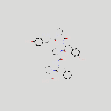 N[C@@H](Cc1ccc(O)cc1)C(=O)N1CCC[C@H]1C(=O)N[C@@H](Cc1ccc(O)cc1)C(=O)N1CCC[C@H]1C(=O)N[C@@H](Cc1ccccc1)C(=S)N1CCC[C@H]1B(O)O